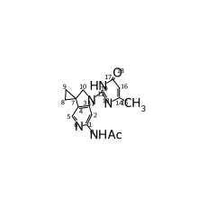 CC(=O)Nc1cc2c(cn1)C1(CC1)CN2c1nc(C)cc(=O)[nH]1